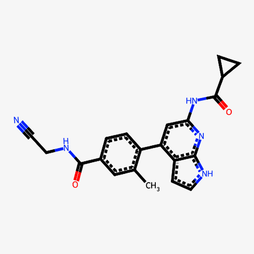 Cc1cc(C(=O)NCC#N)ccc1-c1cc(NC(=O)C2CC2)nc2[nH]ccc12